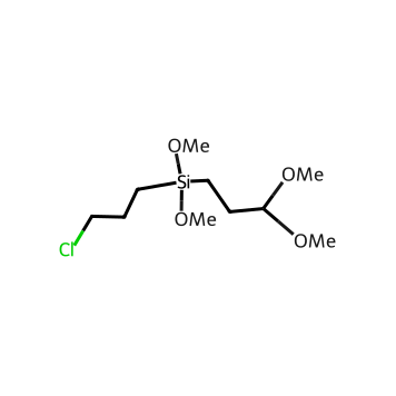 COC(CC[Si](CCCCl)(OC)OC)OC